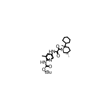 Cc1cc(NC(=O)C(=O)N2C[C@@H](C)CC[C@@]2(C)C2CCCCC2)cnc1NC(=O)OC(C)(C)C